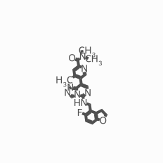 Cc1cc(C(=O)N(C)C)ncc1-c1cnc(NCc2c(F)ccc3c2CCO3)n2cnnc12